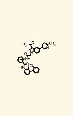 CC(=O)c1nn(CC(=O)NC23CCC(CC2)CC3C(=O)Nc2cccc(-c3ccccc3Cl)c2F)c2ccc(-c3cnc(C)nc3)cc12